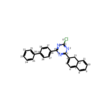 Clc1nc(C2=CC=C3C=CC=CC3C2)nc(-c2ccc(-c3ccccc3)cc2)n1